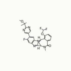 COC(C)(C)c1ncc(-c2cc3c(cc2F)nc2n3[C@@H]3C[C@H]2N(C)C(=O)c2cccc(OC(F)F)c23)cn1